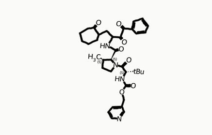 C[C@H]1CCN(C(=O)[C@@H](NC(=O)OCc2cccnc2)C(C)(C)C)[C@@H]1C(=O)NC(CC1CCCCCC1=O)C(=O)C(=O)c1ccccc1